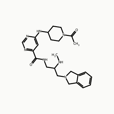 CNC(CNC(=O)c1cc(NC2CCN(C(C)=O)CC2)ncn1)CN1Cc2ccccc2C1